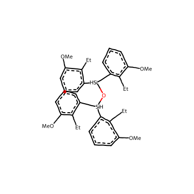 CCc1c(OC)cccc1[SiH](O[SiH](c1cccc(OC)c1CC)c1cccc(OC)c1CC)c1cccc(OC)c1CC